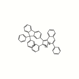 c1ccc(-c2nn3c(-c4ccccc4)cc4ccccc4c3c2-c2ccc3c(c2)C(c2ccccc2)(c2ccccc2)c2ccccc2-3)cc1